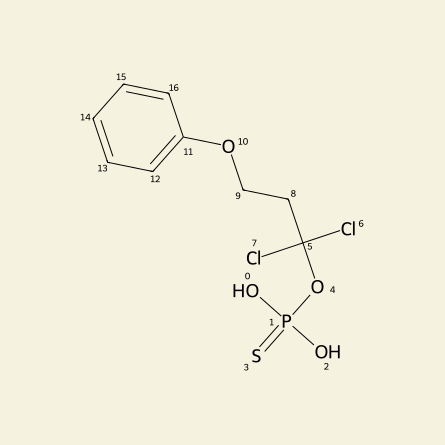 OP(O)(=S)OC(Cl)(Cl)CCOc1ccccc1